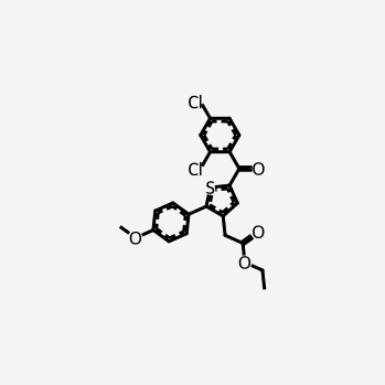 CCOC(=O)Cc1cc(C(=O)c2ccc(Cl)cc2Cl)sc1-c1ccc(OC)cc1